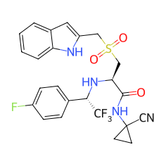 N#CC1(NC(=O)[C@H](CS(=O)(=O)Cc2cc3ccccc3[nH]2)N[C@@H](c2ccc(F)cc2)C(F)(F)F)CC1